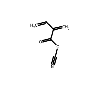 C=CC(=C)C(=O)OC#N